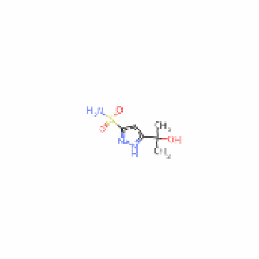 CC(C)(O)c1cc(S(N)(=O)=O)n[nH]1